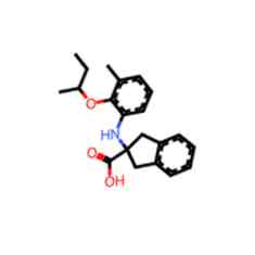 CCC(C)Oc1c(C)cccc1NC1(C(=O)O)Cc2ccccc2C1